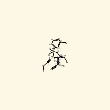 C#C/C=C\[C@H](C#CCC)[SH](C)(C)(CC(/C=C\C)=C/C)c1cccc(C)c1